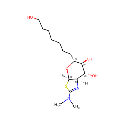 CN(C)C1=N[C@@H]2[C@@H](O)[C@H](O)[C@@H](CCCCCCCO)O[C@@H]2S1